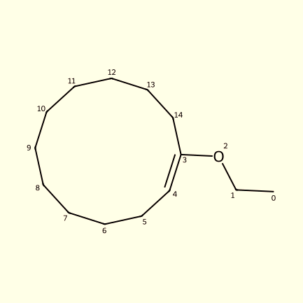 CCO/C1=C/CCCCCCCCCC1